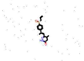 C=CC[S+]([O-])c1ccc(C(C)=CC2=NNC(=O)CC2C)cc1